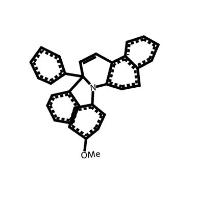 COc1ccc(N2c3ccc4ccccc4c3C=CC2(c2ccccc2)c2ccccc2)cc1